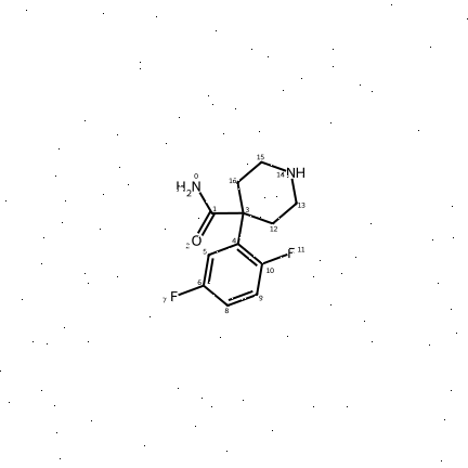 NC(=O)C1(c2cc(F)ccc2F)CCNCC1